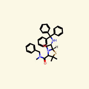 CN(Cc1ccccc1)C(=O)C1N2C(=O)[C@@H](NC(c3ccccc3)(c3ccccc3)c3ccccc3)[C@@H]2SC1(C)C